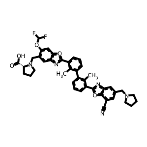 Cc1c(-c2nc3cc(CN4CCC[C@@H]4C(=O)O)c(OC(F)F)cc3o2)cccc1-c1cccc(-c2nc3cc(CN4CCCC4)cc(C#N)c3o2)c1C